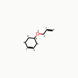 C=CCOC1CC=CCC1